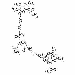 CC(=O)CCC(C)(CCC(=O)NCCOCCOCCOC1OC(COC(C)=O)C(OC(C)=O)C(C)C1C)CCC(=O)NCCOCCOCCOC1OC(COC(C)=O)C(OC(C)=O)C(OC(C)=O)C1C